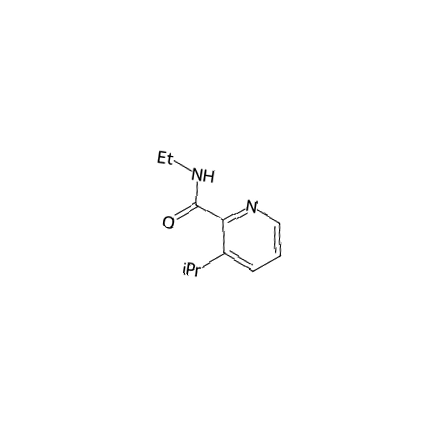 CCNC(=O)c1ncccc1C(C)C